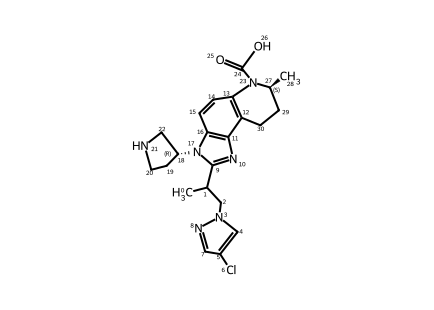 CC(Cn1cc(Cl)cn1)c1nc2c3c(ccc2n1[C@@H]1CCNC1)N(C(=O)O)[C@@H](C)CC3